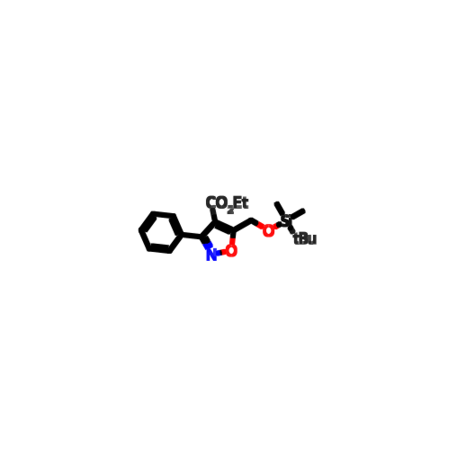 CCOC(=O)c1c(-c2ccccc2)noc1CO[Si](C)(C)C(C)(C)C